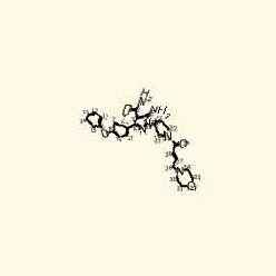 NC(=O)c1c(-c2ccc(Oc3ccccc3)cc2)nn([C@@H]2CCN(C(=O)C=CCN3CCOCC3)C2)c1N